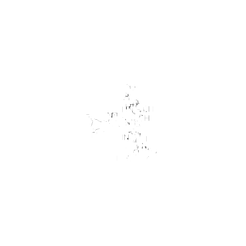 CCC[C@H](NC(=O)[C@@H]1C[C@]2(CC(c3cc(F)cc(F)c3)=NO2)CN1C(=O)[C@@H](NC(=O)O[C@H]1CCOC1)C(C)(C)C)C(=O)C(=O)NC1CC1